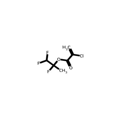 C=C(Cl)C(=O)OC(C)(F)C(F)F